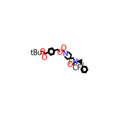 CC(C)(C)OC(=O)c1ccc(COC(=O)N2CCC(F)(CN(C(=O)C(F)(F)F)[C@@H]3C[C@H]3c3ccccc3)CC2)cc1